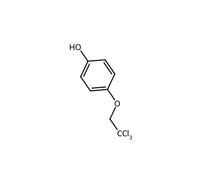 Oc1ccc(OCC(Cl)(Cl)Cl)cc1